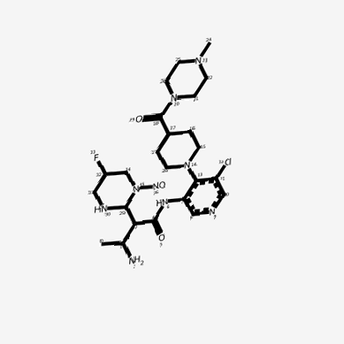 CC(N)C(C(=O)Nc1cncc(Cl)c1N1CCC(C(=O)N2CCN(C)CC2)CC1)C1NCC(F)CN1N=O